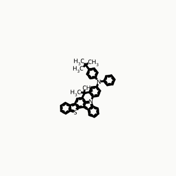 CC(C)(C)c1ccc(N(c2ccccc2)c2ccc3c(c2)C(C)(C)c2cc4c5ccccc5sc4c4c5ccccc5n-3c24)cc1